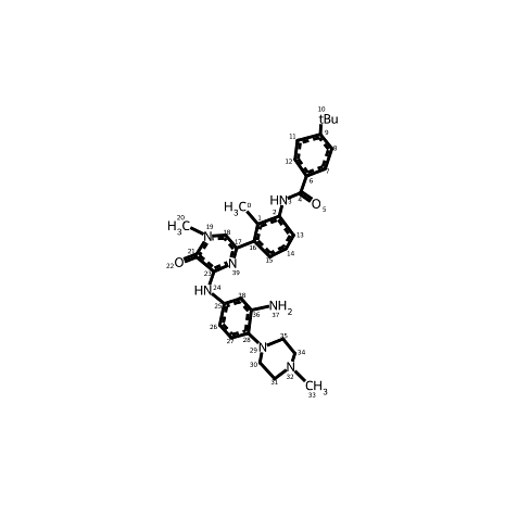 Cc1c(NC(=O)c2ccc(C(C)(C)C)cc2)cccc1-c1cn(C)c(=O)c(Nc2ccc(N3CCN(C)CC3)c(N)c2)n1